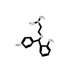 Cc1ccccc1C(OCCN(C)C)c1ccccc1.Cl